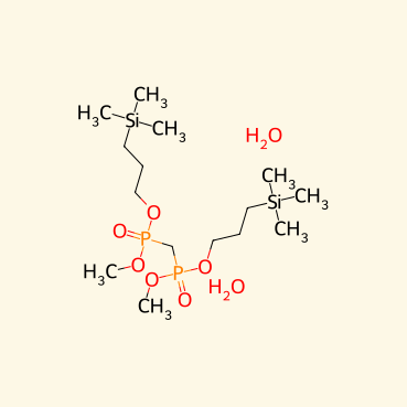 COP(=O)(CP(=O)(OC)OCCC[Si](C)(C)C)OCCC[Si](C)(C)C.O.O